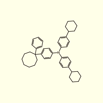 c1ccc(C2(c3ccc(N(c4ccc(C5CCCCC5)cc4)c4ccc(C5CCCCC5)cc4)cc3)CCCCCCC2)cc1